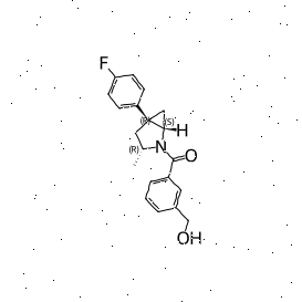 C[C@@H]1C[C@]2(c3ccc(F)cc3)C[C@@H]2N1C(=O)c1cccc(CO)c1